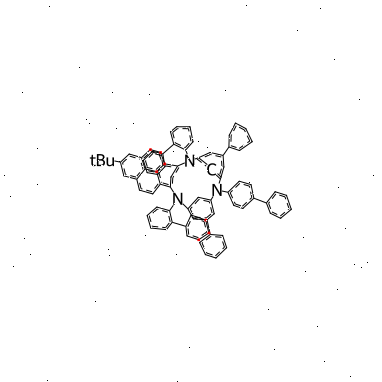 CC(C)(C)c1cc2ccc3c4cc(c5ccc(c1)c2c35)N(c1ccccc1-c1ccccc1)c1cc(-c2ccccc2)cc(c1)N(c1ccc(-c2ccccc2)cc1)c1cc(-c2ccccc2)cc(c1)N4c1ccccc1-c1ccccc1